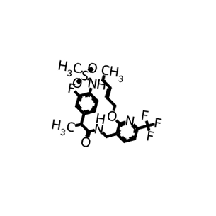 CCC=CCOc1nc(C(F)(F)F)ccc1CNC(=O)C(C)c1ccc(NS(C)(=O)=O)c(F)c1